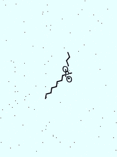 CCCCCCCCP(C)(=O)OCCCC